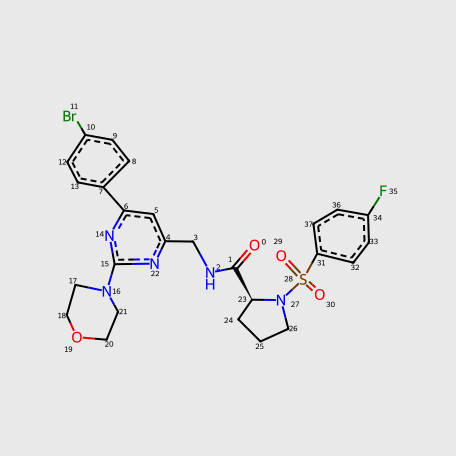 O=C(NCc1cc(-c2ccc(Br)cc2)nc(N2CCOCC2)n1)[C@@H]1CCCN1S(=O)(=O)c1ccc(F)cc1